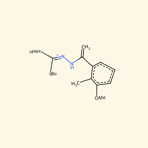 C=C(N/N=C(/CCCCCC)C(C)(C)C)c1cccc(OC)c1C